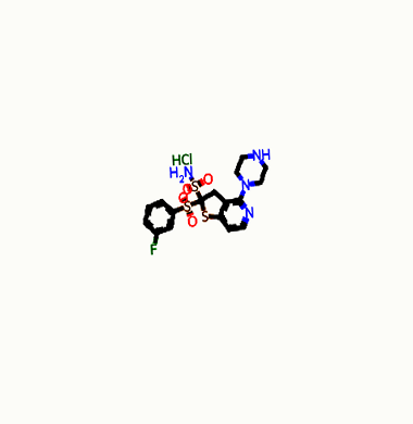 Cl.NS(=O)(=O)C1(S(=O)(=O)c2cccc(F)c2)Cc2c(ccnc2N2CCNCC2)S1